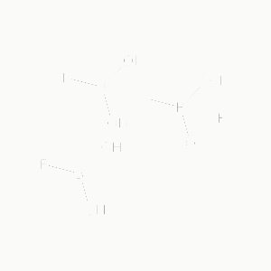 OB(O)F.OB(O)F.OB(O)F.[K]